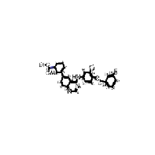 CCO/C(OC)=C1\C=CC=C(c2ccc3ncnc(Nc4ccc(OCc5cccc(F)c5)c(Cl)c4)c3c2)C1